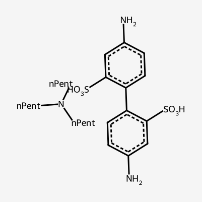 CCCCCN(CCCCC)CCCCC.Nc1ccc(-c2ccc(N)cc2S(=O)(=O)O)c(S(=O)(=O)O)c1